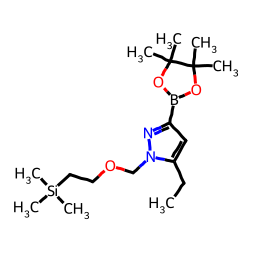 CCc1cc(B2OC(C)(C)C(C)(C)O2)nn1COCC[Si](C)(C)C